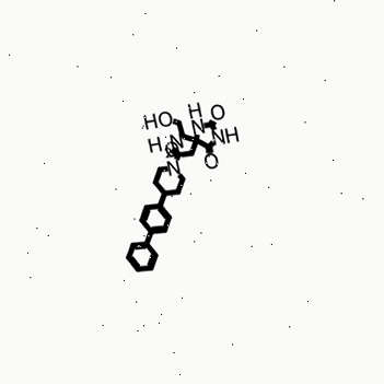 NC(CO)C1(CC(=O)N2CCC(c3ccc(-c4ccccc4)cc3)CC2)NC(=O)NC1=O